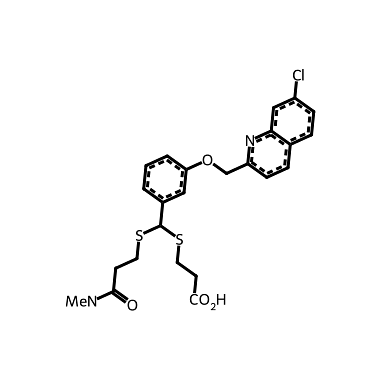 CNC(=O)CCSC(SCCC(=O)O)c1cccc(OCc2ccc3ccc(Cl)cc3n2)c1